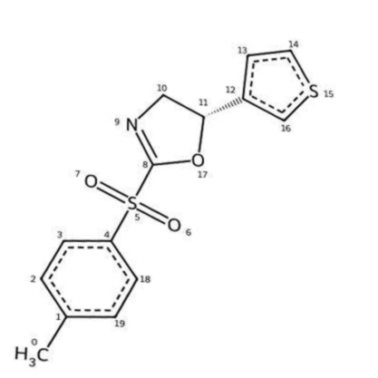 Cc1ccc(S(=O)(=O)C2=NC[C@H](c3ccsc3)O2)cc1